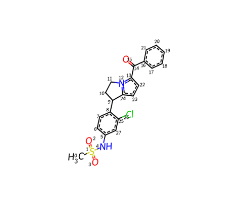 CS(=O)(=O)Nc1ccc(C2CCn3c(C(=O)c4ccccc4)ccc32)c(Cl)c1